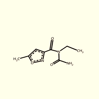 CCN(C(N)=O)C(=O)c1cc(C)on1